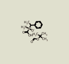 CC(C)(C)OC=O.CC(c1ccccc1)[N+](N)([O-])C(=O)O